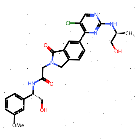 COc1cccc([C@@H](CO)NC(=O)CN2Cc3ccc(-c4nc(N[C@@H](C)CO)ncc4Cl)cc3C2=O)c1